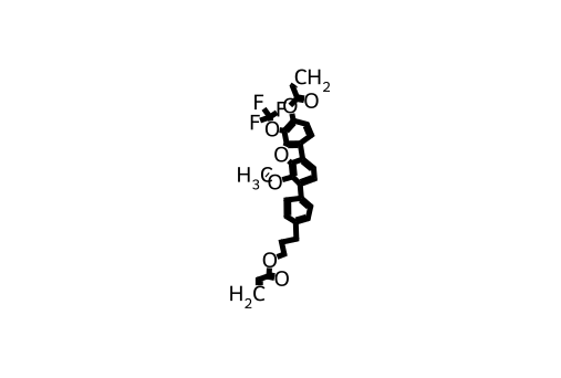 C=CC(=O)OCCCc1ccc(-c2ccc3c(oc4c(OC(F)(F)F)c(OC(=O)C=C)ccc43)c2OC)cc1